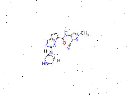 Cn1cc(NC(=O)c2ccc3cnc(N4C[C@H]5CNC[C@@H]4C5)nn23)c(C#N)n1